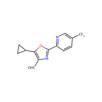 O=Cc1nc(-c2ccc(C(F)(F)F)cn2)oc1C1CC1